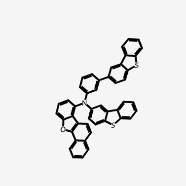 c1cc(-c2ccc3sc4ccccc4c3c2)cc(N(c2ccc3sc4ccccc4c3c2)c2cccc3oc4c5ccccc5ccc4c23)c1